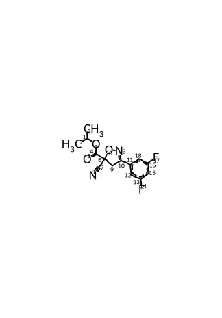 CC(C)OC(=O)C1(C#N)CC(c2cc(F)cc(F)c2)=NO1